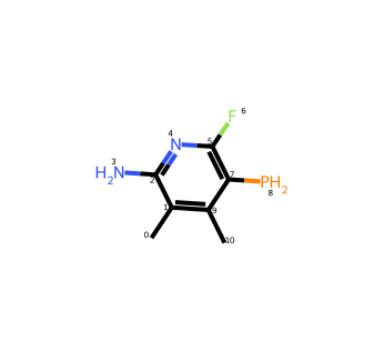 Cc1c(N)nc(F)c(P)c1C